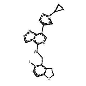 Fc1ccc2c(c1CNc1ncc(-c3cnn(C4CC4)c3)c3nncn13)CCO2